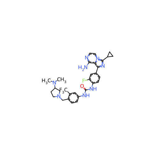 CN(C)C1CCN(Cc2ccc(NC(=O)Nc3ccc(-c4nc(C5CC5)n5ccnc(N)c45)cc3F)cc2C(F)(F)F)C1